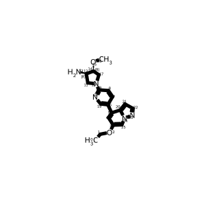 CCOc1cc(-c2ccc(N3C[C@@H](N)[C@H](OC)C3)nc2)c2ccnn2c1